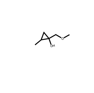 COCC1(O)CC1C